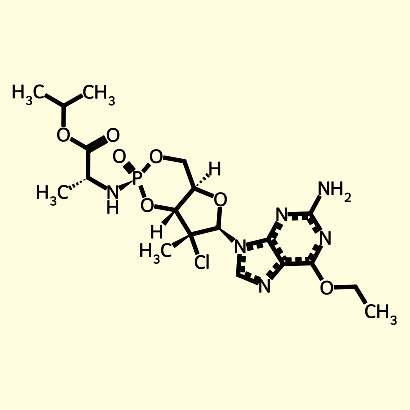 CCOc1nc(N)nc2c1ncn2[C@@H]1O[C@@H]2CO[P@](=O)(N[C@H](C)C(=O)OC(C)C)O[C@H]2[C@@]1(C)Cl